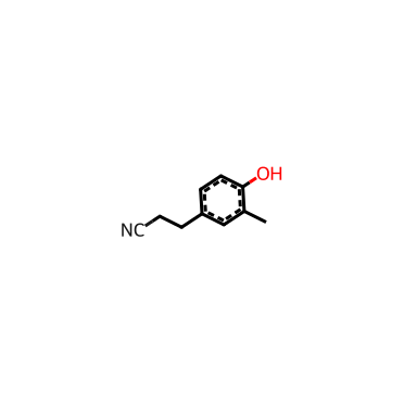 Cc1cc(CCC#N)ccc1O